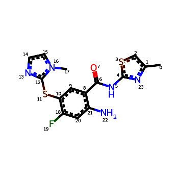 Cc1csc(NC(=O)c2cc(Sc3nccn3C)c(F)cc2N)n1